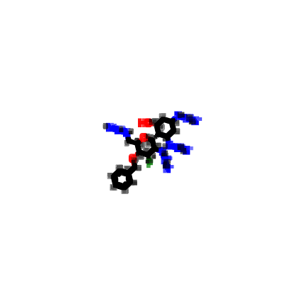 [N-]=[N+]=NC[C@H]1O[C@H](C2C(N=[N+]=[N-])CC(N=[N+]=[N-])C[C@H]2O)C(N=[N+]=[N-])[C@@H](F)[C@@H]1OCc1ccccc1